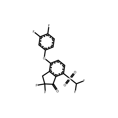 O=C1c2c(S(=O)(=O)C(F)F)ccc(Oc3ccc(F)c(F)c3)c2CC1(F)F